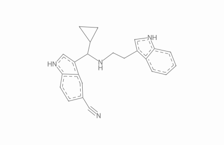 N#Cc1ccc2[nH]cc(C(NCCc3c[nH]c4ccccc34)C3CC3)c2c1